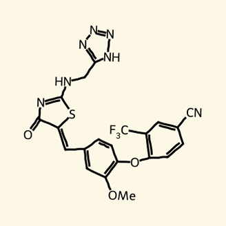 COc1cc(/C=C2\SC(NCc3nnn[nH]3)=NC2=O)ccc1Oc1ccc(C#N)cc1C(F)(F)F